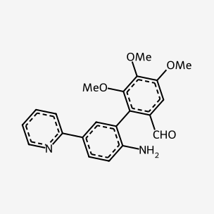 COc1cc(C=O)c(-c2cc(-c3ccccn3)ccc2N)c(OC)c1OC